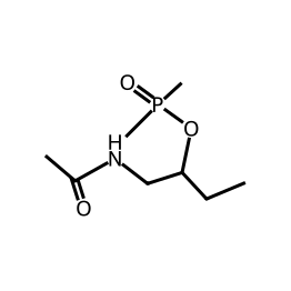 CCC(CNC(C)=O)OP(C)(C)=O